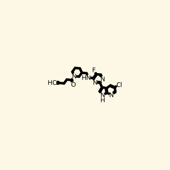 C#CCCC(=O)N1CCCC(CNc2nc(-c3c[nH]c4ncc(Cl)cc34)ncc2F)C1